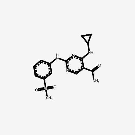 CS(=O)(=O)c1cccc(Nc2ncc(C(N)=O)c(NC3CC3)n2)c1